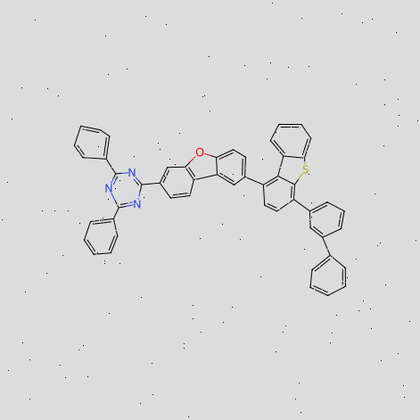 c1ccc(-c2cccc(-c3ccc(-c4ccc5oc6cc(-c7nc(-c8ccccc8)nc(-c8ccccc8)n7)ccc6c5c4)c4c3sc3ccccc34)c2)cc1